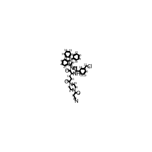 N#CCC(=O)N1CCN(C(=O)CC[C@H](NC(=O)c2cccc(CCl)c2)C(=O)NCC[PH](c2ccccc2)(c2ccccc2)c2ccccc2)CC1